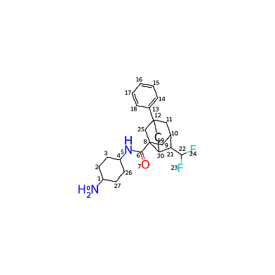 NC1CCC(NC(=O)C23CC4CC(c5ccccc5)(CC2C4C(F)F)C3)CC1